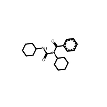 O=C(NC1CCCCC1)N(C(=O)c1cc[c]cc1)C1CCCCC1